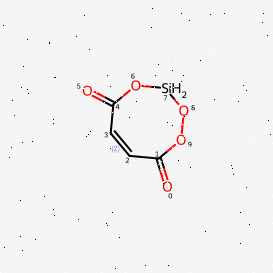 O=C1/C=C\C(=O)O[SiH2]OO1